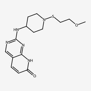 COCCSN1CCC(Nc2ncc3ccc(=O)[nH]c3n2)CC1